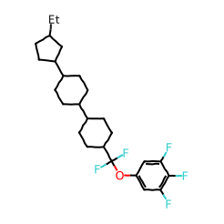 CCC1CCC(C2CCC(C3CCC(C(F)(F)Oc4cc(F)c(F)c(F)c4)CC3)CC2)C1